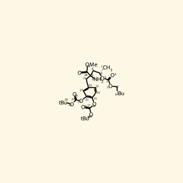 CCC(C)COC(=O)O[C@@H](C)CC(N)(Cc1ccc(OC(=O)OC(C)(C)C)c(OC(=O)OC(C)(C)C)c1)C(=O)OC